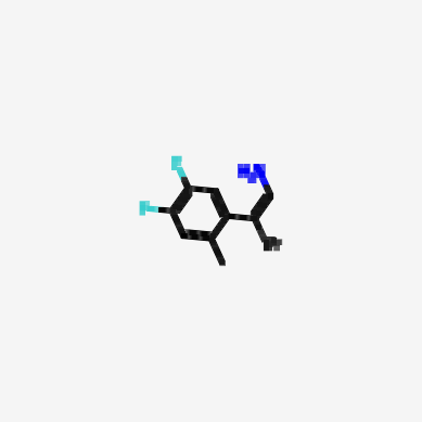 Cc1cc(F)c(F)cc1/C(=C\N)C(C)C